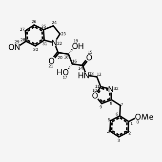 COc1ccccc1Cc1coc(CNC(=O)[C@H](O)[C@@H](O)C(=O)N2CCc3ccc(N=O)cc32)n1